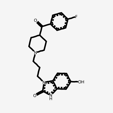 O=C(c1ccc(F)cc1)C1CCN(CCCn2c(=O)[nH]c3cc(O)ccc32)CC1